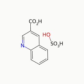 O=C(O)c1cnc2ccccc2c1.O=S(=O)(O)O